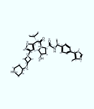 Cc1ncsc1-c1ccc([C@H](C)NC(=O)[C@@H]2C[C@@H](O)CN2C(=O)[C@H](c2cc(N3CC(OC4CCNCC4)C3)no2)C(C)C)cc1